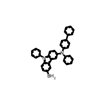 Bc1ccc2c(c1)c1cc(N(c3ccccc3)c3ccc(-c4ccccc4)cc3)ccc1n2-c1ccccc1